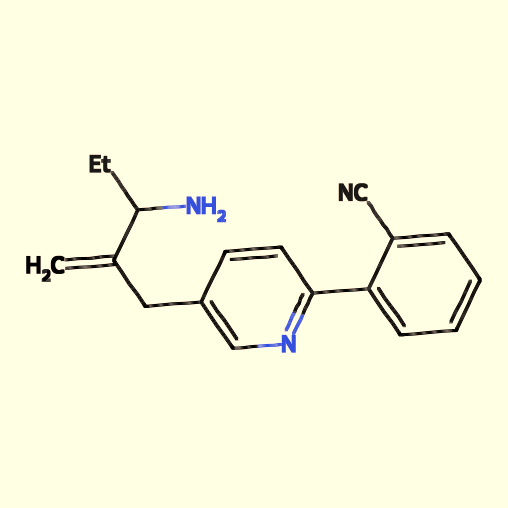 C=C(Cc1ccc(-c2ccccc2C#N)nc1)C(N)CC